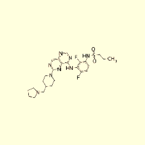 CCCS(=O)(=O)Nc1ccc(F)c(Nc2ncnc3cnc(N4CCC(CN5CCCC5)CC4)nc23)c1F